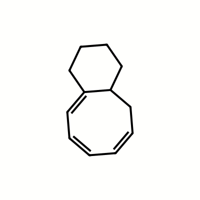 C1=CC=C2CCCCC2CC=C1